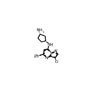 CC(C)c1cc(N[C@H]2CC[C@H](N)C2)n2ncc(Cl)c2n1